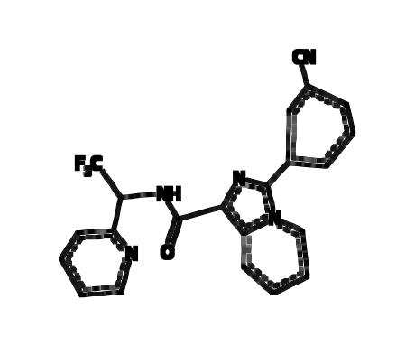 N#Cc1cccc(-c2nc(C(=O)NC(c3ccccn3)C(F)(F)F)c3ccccn23)c1